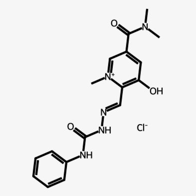 CN(C)C(=O)c1cc(O)c(C=NNC(=O)Nc2ccccc2)[n+](C)c1.[Cl-]